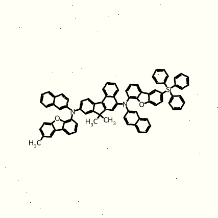 Cc1ccc2oc3c(N(c4ccc5c(c4)C(C)(C)c4cc(N(c6ccc7ccccc7c6)c6cccc7c6oc6ccc([Si](c8ccccc8)(c8ccccc8)c8ccccc8)cc67)c6ccccc6c4-5)c4ccc5ccccc5c4)cccc3c2c1